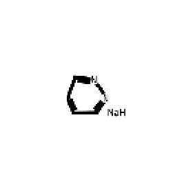 [NaH].c1ccnnc1